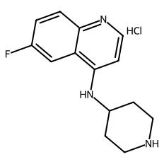 Cl.Fc1ccc2nccc(NC3CCNCC3)c2c1